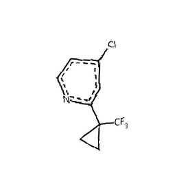 FC(F)(F)C1(c2cc(Cl)ccn2)CC1